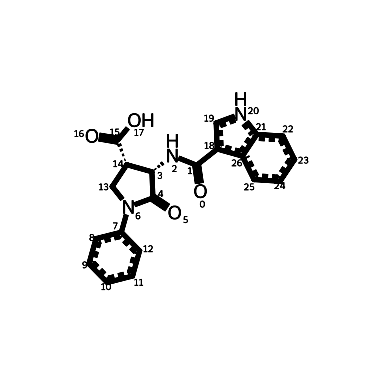 O=C(N[C@@H]1C(=O)N(c2ccccc2)C[C@@H]1C(=O)O)c1c[nH]c2ccccc12